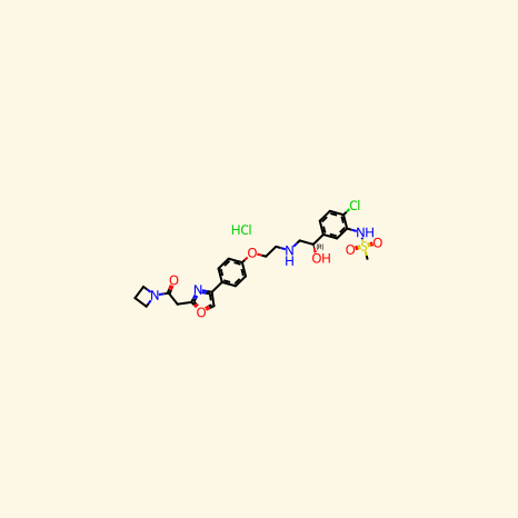 CS(=O)(=O)Nc1cc([C@@H](O)CNCCOc2ccc(-c3coc(CC(=O)N4CCC4)n3)cc2)ccc1Cl.Cl